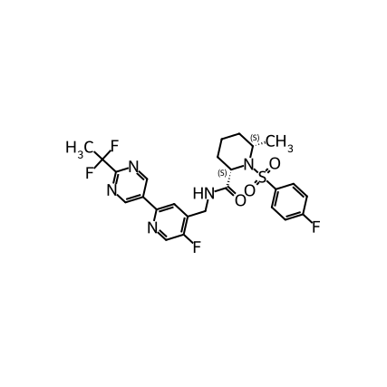 C[C@H]1CCC[C@@H](C(=O)NCc2cc(-c3cnc(C(C)(F)F)nc3)ncc2F)N1S(=O)(=O)c1ccc(F)cc1